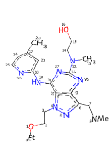 CCOCCn1nc(CNC)c2nc(N(C)CCO)nc(Nc3cc(C)ccn3)c21